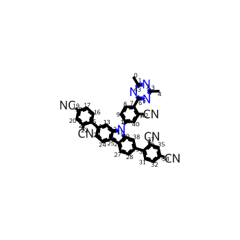 Cc1nc(C)nc(-c2ccc(-n3c4cc(-c5ccc(C#N)cc5C#N)ccc4c4ccc(-c5ccc(C#N)cc5C#N)cc43)cc2C#N)n1